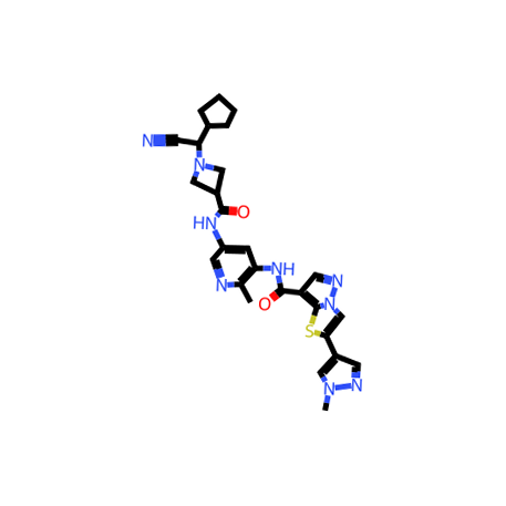 Cc1ncc(NC(=O)C2CN(C(C#N)C3CCCC3)C2)cc1NC(=O)c1cnn2cc(-c3cnn(C)c3)sc12